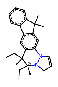 CCC1(C)c2cc3c(cc2N2C=CCN2[C@]1(C)CC)C(C)(C)c1ccccc1-3